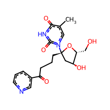 Cc1cn([C@@]2(CCCC(=O)c3cccnc3)C[C@H](O)[C@@H](CO)O2)c(=O)[nH]c1=O